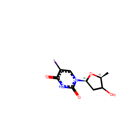 C[C@@H]1O[C@H](n2cc(I)c(=O)[nH]c2=O)CC1O